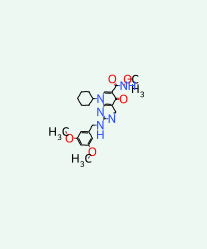 CONC(=O)c1cn(C2CCCCC2)c2nc(NCc3cc(OC)cc(OC)c3)ncc2c1=O